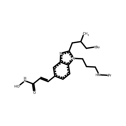 CC(Cc1nc2cc(C=CC(=O)NO)ccc2n1CCCNC(C)C)CC(C)(C)C